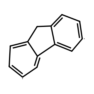 [c]1ccc2c(c1)-c1c[c]ccc1C2